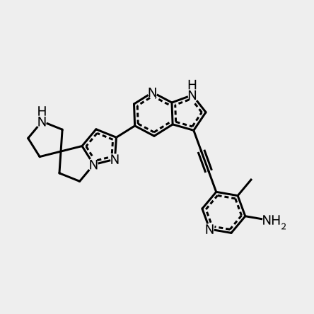 Cc1c(N)cncc1C#Cc1c[nH]c2ncc(-c3cc4n(n3)CCC43CCNC3)cc12